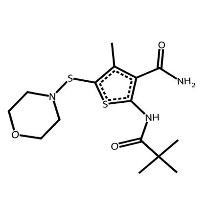 Cc1c(SN2CCOCC2)sc(NC(=O)C(C)(C)C)c1C(N)=O